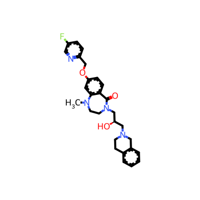 CN1CCN(C[C@H](O)CN2CCc3ccccc3C2)C(=O)c2ccc(OCc3ccc(F)cn3)cc21